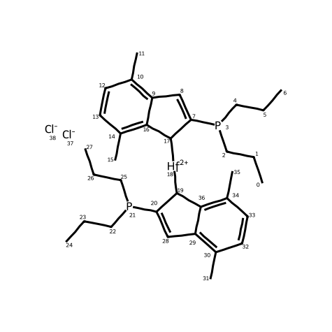 CCCP(CCC)C1=Cc2c(C)ccc(C)c2[CH]1[Hf+2][CH]1C(P(CCC)CCC)=Cc2c(C)ccc(C)c21.[Cl-].[Cl-]